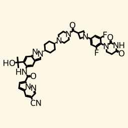 CC(C)(O)c1cc2nn([C@H]3CC[C@H](N4CCN(C(=O)C5CN(c6cc(F)c(N7CCC(=O)NC7=O)c(F)c6)C5)CC4)CC3)cc2cc1NC(=O)c1ccc2cc(C#N)cnn12